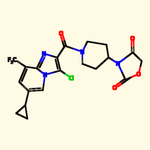 O=C(c1nc2c(C(F)(F)F)cc(C3CC3)cn2c1Cl)N1CCC(N2C(=O)COC2=O)CC1